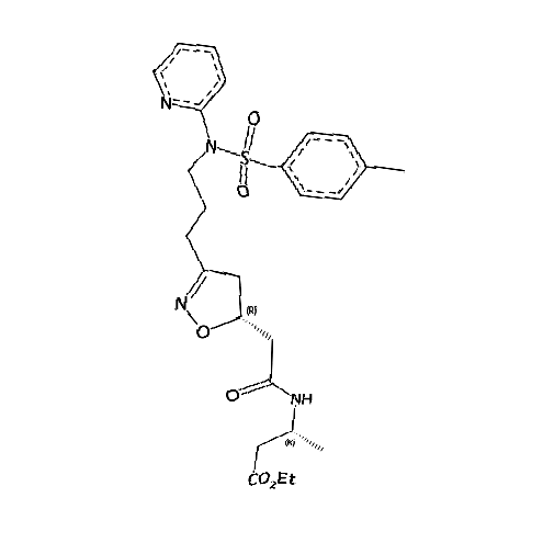 CCOC(=O)C[C@@H](C)NC(=O)C[C@H]1CC(CCCN(c2ccccn2)S(=O)(=O)c2ccc(C)cc2)=NO1